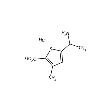 Cc1cc(C(C)N)sc1C(=O)O.Cl